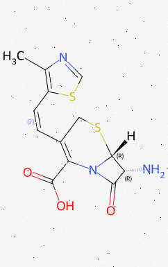 Cc1ncsc1/C=C\C1=C(C(=O)O)N2C(=O)[C@@H](N)[C@H]2SC1